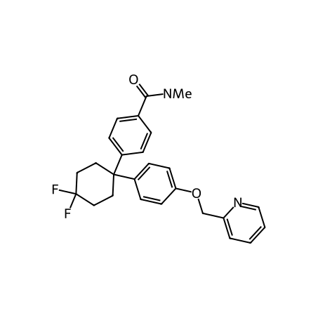 CNC(=O)c1ccc(C2(c3ccc(OCc4ccccn4)cc3)CCC(F)(F)CC2)cc1